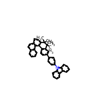 CC1(C)c2cc(-c3ccc(-n4c5ccccc5c5ccccc54)cc3)ccc2-c2c(ccc3ccc4ccccc4c23)C1(C)C